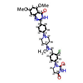 COc1cc(OC)c2c(=O)[nH]c(-c3ccc(N4CCC(N(C)Cc5ccc(N6CCC(=O)NC6=O)cc5F)CC4)cc3)nc2c1